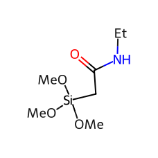 CCNC(=O)C[Si](OC)(OC)OC